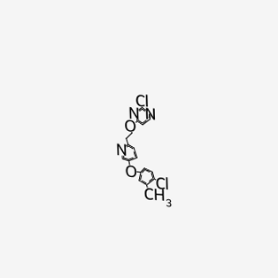 Cc1cc(Oc2ccc(CCOc3ccnc(Cl)n3)nc2)ccc1Cl